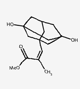 COC(=O)C(C)=CC12CC3CC(O)(CC(O)(C3)C1)C2